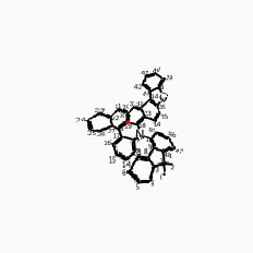 CC1(C)c2ccccc2-c2c(N(c3ccccc3-c3cccc4ccccc34)c3cccc4c3ccc3oc5ccccc5c34)cccc21